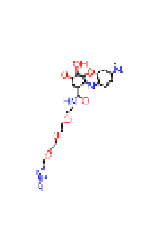 CN(C)c1ccc2nc3c(C(=O)NCCOCCOCCOCCN=[N+]=[N-])cc(=O)c(O)c-3oc2c1